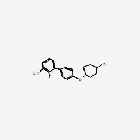 CC(C)(C)[C@H]1CC[C@H](Oc2ccc(-c3cccc(C=O)c3F)cc2)CC1